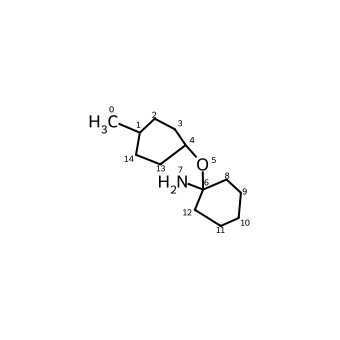 CC1CCC(OC2(N)CCCCC2)CC1